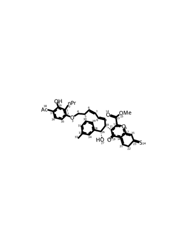 CCCc1c(OCC/C=C\C=C\[C@H](c2c(C(=O)OC)oc3c(c2=O)=CCC(=S)C=3)[C@H](O)c2cccc(C)c2)ccc(C(C)=O)c1O